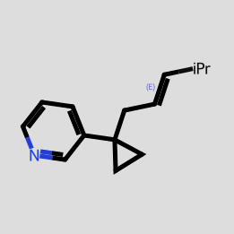 CC(C)/C=C/CC1(c2cccnc2)CC1